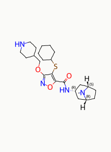 CN1[C@@H]2CC[C@H]1C[C@@H](NC(=O)c1onc(OCC3CCNCC3)c1SC1CCCCC1)C2